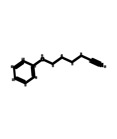 N#CCCCCOc1ccccc1